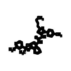 CCCCc1cc(NC(=O)Nc2ccc(OC(C)(C)c3ccnc(N)c3)c3ccccc23)n(-c2ccc(C)cc2)n1